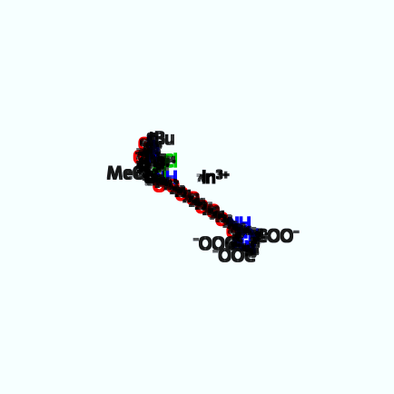 COc1cc2c(cc1-c1cccc(NC(=O)CCOCCOCCOCCOCCOCCOCCNC(=O)CN3CCN(CC(=O)[O-])CCN(CC(=O)[O-])CCN(CC(=O)[O-])CC3)c1)-c1c(c(C(=O)N(C)C(C)(C)C)nn1-c1cc(Cl)cc(Cl)c1)CO2.[In+3]